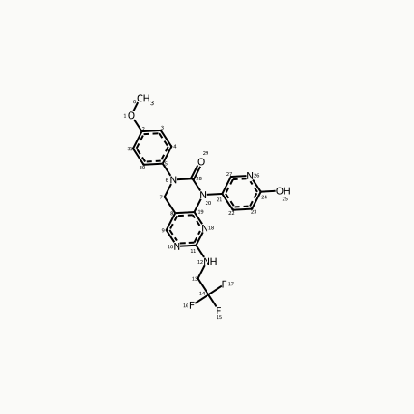 COc1ccc(N2Cc3cnc(NCC(F)(F)F)nc3N(c3ccc(O)nc3)C2=O)cc1